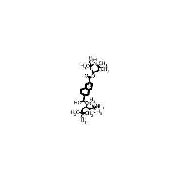 CC(C)(C)CC(CC(C)(C)N)OC(O)c1ccc2cc(C(=O)OC3CC(C)(C)NC(C)(C)C3)ccc2c1